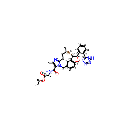 CCCCc1nc(C)c(C(=O)NCC(=O)OCC)n1Cc1ccc2oc(-c3ccccc3-c3nnn[nH]3)c(Br)c2c1